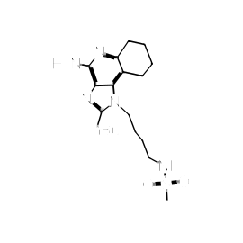 CCCCc1nc2c(N)nc3c(c2n1CCCCNS(C)(=O)=O)CCCC3